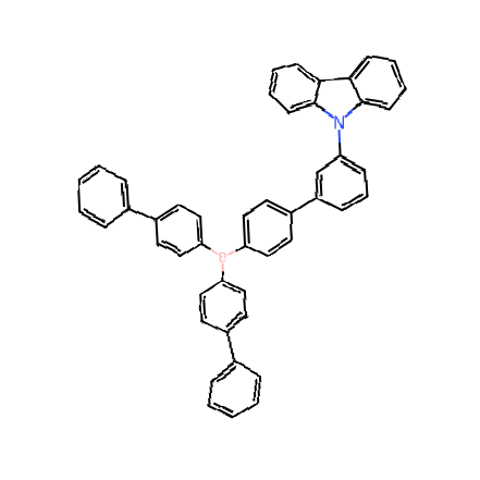 c1ccc(-c2ccc(B(c3ccc(-c4ccccc4)cc3)c3ccc(-c4cccc(-n5c6ccccc6c6ccccc65)c4)cc3)cc2)cc1